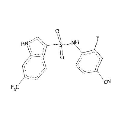 N#Cc1ccc(NS(=O)(=O)c2c[nH]c3cc(C(F)(F)F)ccc23)c(F)c1